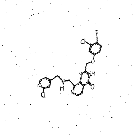 O=c1[nH]c(COc2ccc(F)c(Cl)c2)nc2c(CNCc3ccnc(Cl)c3)nccc12